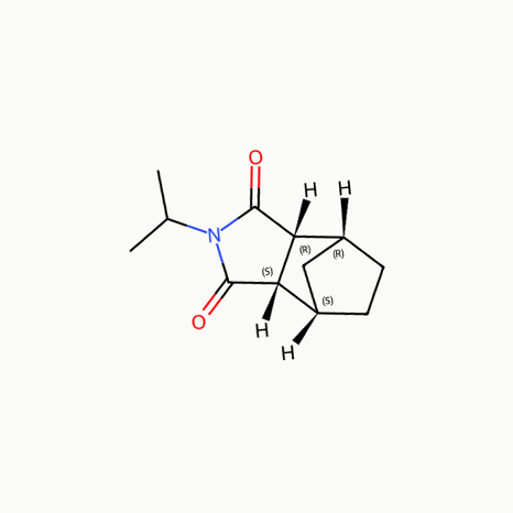 CC(C)N1C(=O)[C@@H]2[C@@H]3CC[C@@H](C3)[C@@H]2C1=O